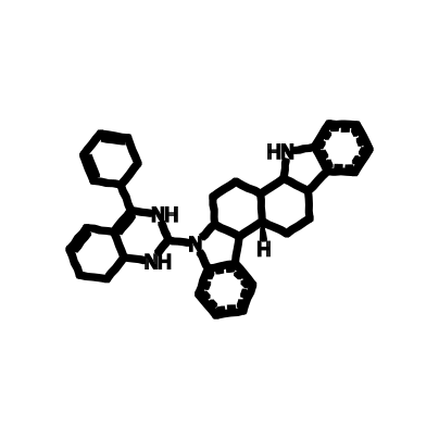 C1=CCC(C2=C3C=CCCC3NC(N3c4ccccc4C4C3CCC3C5Nc6ccccc6C5CC[C@@H]34)N2)C=C1